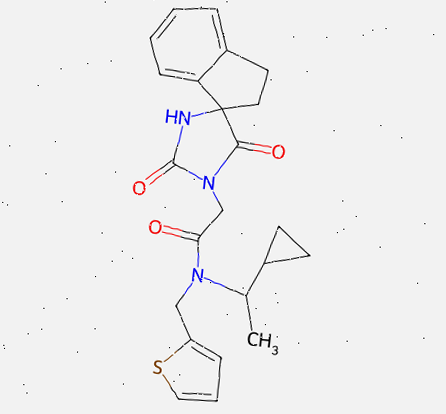 CC(C1CC1)N(Cc1cccs1)C(=O)CN1C(=O)NC2(CCc3ccccc32)C1=O